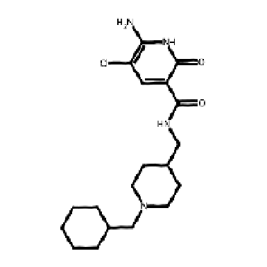 Nc1[nH]c(=O)c(C(=O)NCC2CCN(CC3CCCCC3)CC2)cc1Cl